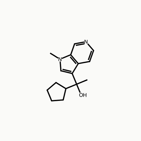 Cn1cc(C(C)(O)C2CCCC2)c2ccncc21